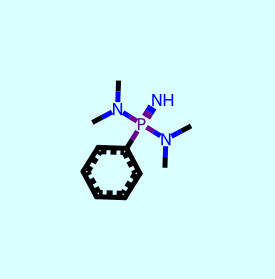 CN(C)P(=N)(c1ccccc1)N(C)C